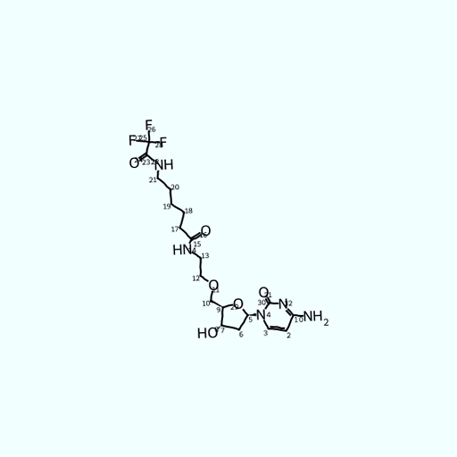 Nc1ccn([C@H]2C[C@H](O)[C@@H](COCCNC(=O)CCCCCNC(=O)C(F)(F)F)O2)c(=O)n1